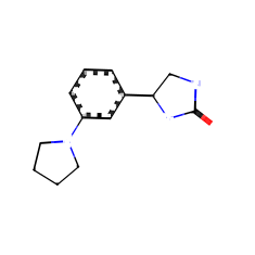 O=C1NCC(c2cccc(N3CCCC3)c2)N1